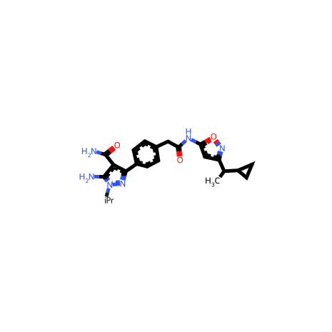 CC(c1cc(NC(=O)Cc2ccc(-c3nn(C(C)C)c(N)c3C(N)=O)cc2)on1)C1CC1